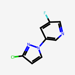 Fc1cncc(-n2ccc(Cl)n2)c1